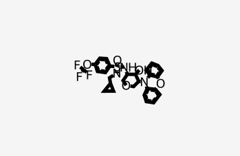 O=S(=NCC1CC1)(NC1COCC(N2c3ccccc3Oc3ccccc32)C1O)c1ccc(OC(F)(F)F)cc1